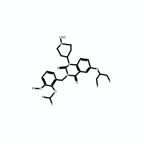 CCOc1cccc(Cn2c(=O)c3cc(OC(CF)CF)ccc3n(C3CCN(C=O)CC3)c2=O)c1OC(F)F